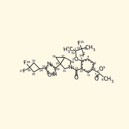 C[C@H](Oc1ccc(S(C)(=O)=O)cc1C(=O)N1CC2CC2(c2noc(C3CC(F)(F)C3)n2)C1)C(C)(F)F